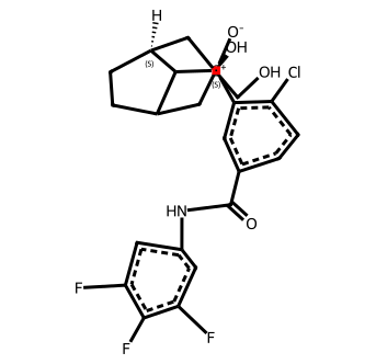 O=C(Nc1cc(F)c(F)c(F)c1)c1ccc(Cl)c([S+]([O-])C2C3CC[C@H]2C[C@](O)(CO)C3)c1